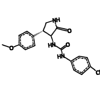 COc1ccc([C@@H]2CNC(=O)C2NC(=O)Nc2ccc(Cl)cc2)cc1